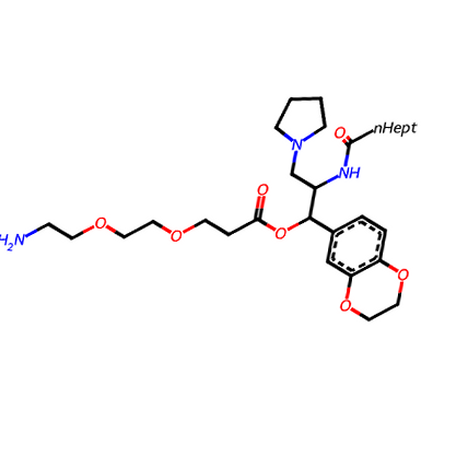 CCCCCCCC(=O)NC(CN1CCCC1)C(OC(=O)CCOCCOCCN)c1ccc2c(c1)OCCO2